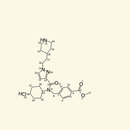 COC(=O)c1ccc(CN(C(=O)c2ccn(CCC3CCNCC3)n2)C2CCCCC2)cc1.Cl